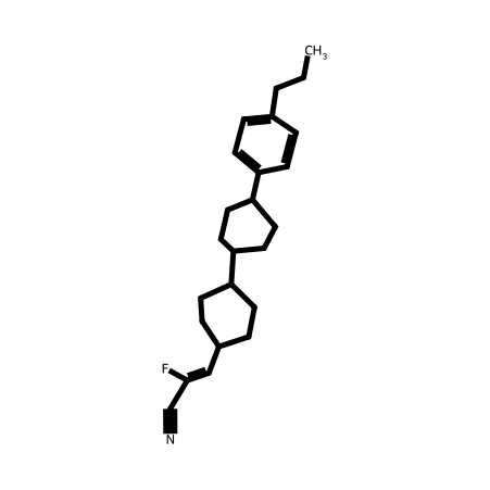 CCCc1ccc(C2CCC(C3CCC(C=C(F)C#N)CC3)CC2)cc1